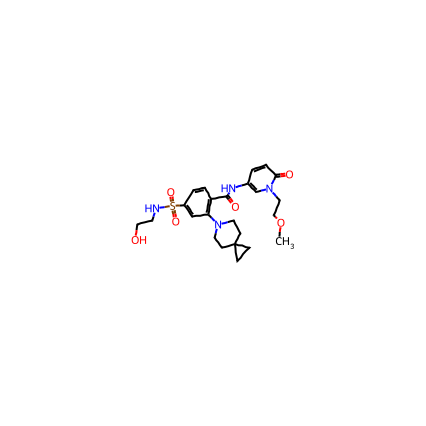 COCCn1cc(NC(=O)c2ccc(S(=O)(=O)NCCO)cc2N2CCC3(CC2)CC3)ccc1=O